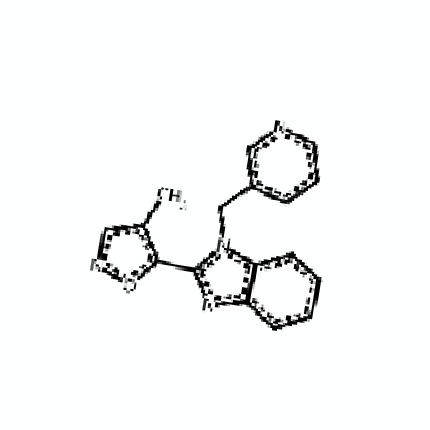 Cc1cnoc1-c1nc2ccccc2n1Cc1cccnc1